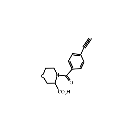 [C]#Cc1ccc(C(=O)N2CCOCC2C(=O)O)cc1